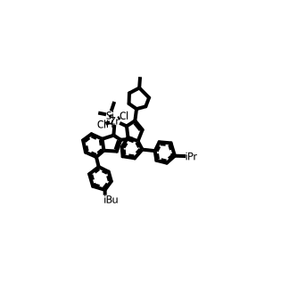 CCC(C)c1ccc(-c2cccc3c2C=C(C)[CH]3[Zr]([Cl])([Cl])([CH]2C(C3CCC(C)CC3)=Cc3c(-c4ccc(C(C)C)cc4)cccc32)[SiH](C)C)cc1